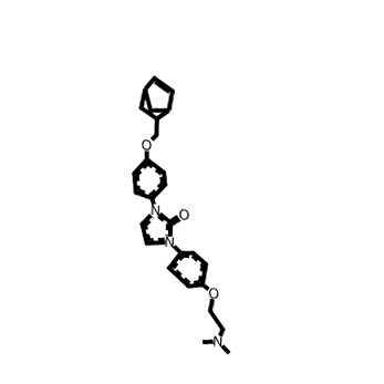 CN(C)CCOc1ccc(-n2ccn(-c3ccc(OCC4CC5C=CC4C5)cc3)c2=O)cc1